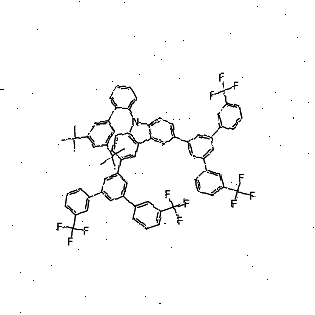 CC(C)(C)c1cc(-c2ccccc2-n2c3ccc(-c4cc(-c5cccc(C(F)(F)F)c5)cc(-c5cccc(C(F)(F)F)c5)c4)cc3c3cc(-c4cc(-c5cccc(C(F)(F)F)c5)cc(-c5cccc(C(F)(F)F)c5)c4)ccc32)cc(C(C)(C)C)c1